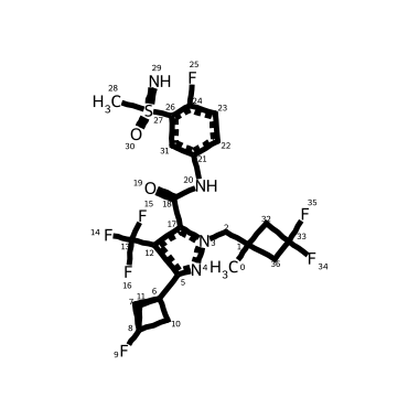 CC1(Cn2nc(C34CC(F)(C3)C4)c(C(F)(F)F)c2C(=O)Nc2ccc(F)c(S(C)(=N)=O)c2)CC(F)(F)C1